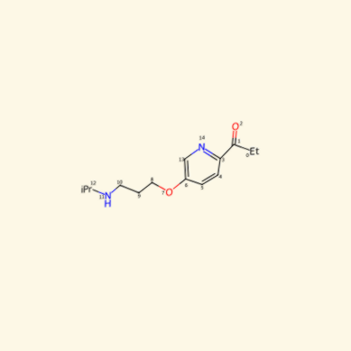 CCC(=O)c1ccc(OCCCNC(C)C)cn1